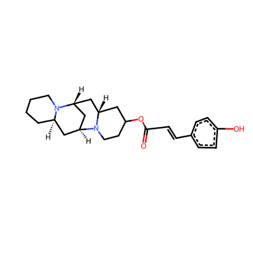 O=C(/C=C/c1ccc(O)cc1)OC1CCN2[C@@H]3C[C@@H](C[C@@H]2C1)N1CCCC[C@@H]1C3